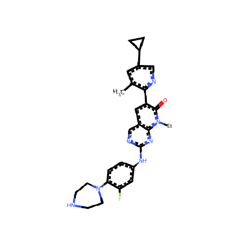 CCn1c(=O)c(-c2ncc(C3CC3)cc2C)cc2cnc(Nc3ccc(N4CCNCC4)c(F)c3)nc21